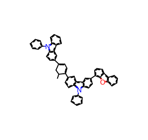 CC1CC(c2ccc3c(c2)c2ccccc2n3-c2ccccc2)=CC=C1c1ccc2c(c1)c1cc(-c3cccc4c3oc3ccccc34)ccc1n2-c1ccccc1